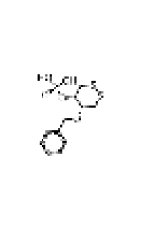 O=P(O)(O)O[C@H]1CSSC[C@@H]1OCc1ccccc1